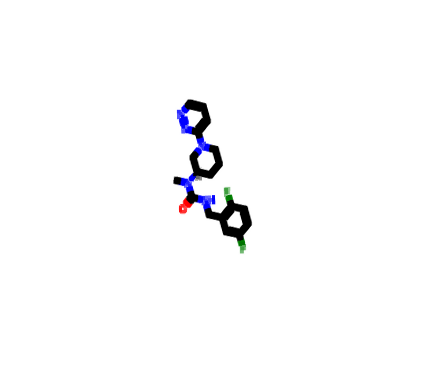 CN(C(=O)NCc1cc(F)ccc1F)[C@@H]1CCCN(c2cccnn2)C1